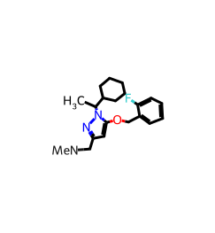 CNCc1cc(OCc2ccccc2F)n(C(C)C2CCCCC2)n1